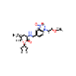 COCCNc1ccc(CNC(CC(C)C)C(=O)OC2CCCC2)cc1[N+](=O)[O-]